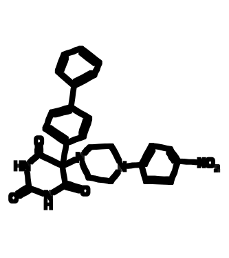 O=C1NC(=O)C(c2ccc(-c3ccccc3)cc2)(N2CCN(c3ccc([N+](=O)[O-])cc3)CC2)C(=O)N1